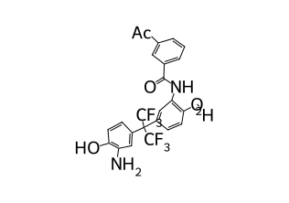 [2H]Oc1ccc(C(c2ccc(O)c(N)c2)(C(F)(F)F)C(F)(F)F)cc1NC(=O)c1cccc(C(C)=O)c1